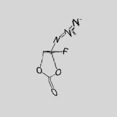 [N-]=[N+]=NC1(F)COC(=O)O1